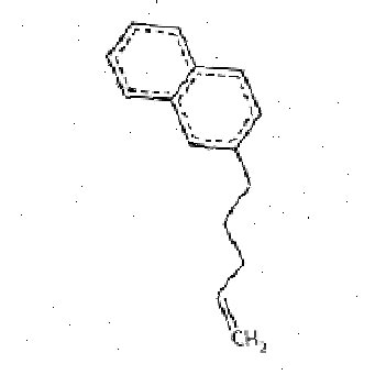 C=CCCCc1ccc2ccccc2c1